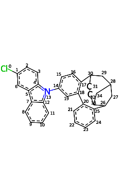 Clc1ccc2c(c1)c1ccccc1n2-c1ccc2c(c1)-c1ccccc1C1CC3CC2CCC1C3